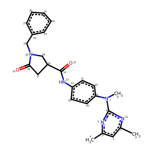 Cc1cc(C)nc(N(C)c2ccc(NC(=O)C3CC(=O)N(Cc4ccccc4)C3)cc2)n1